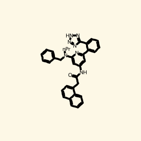 CCCN(Cc1ccccc1)c1cc(NC(=O)Cc2cccc3ccccc23)cc(-c2ccccc2-c2nn[nH]n2)n1